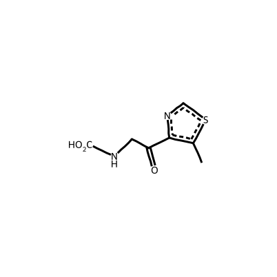 Cc1scnc1C(=O)CNC(=O)O